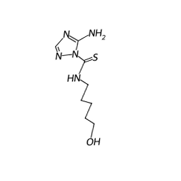 Nc1ncnn1C(=S)NCCCCCO